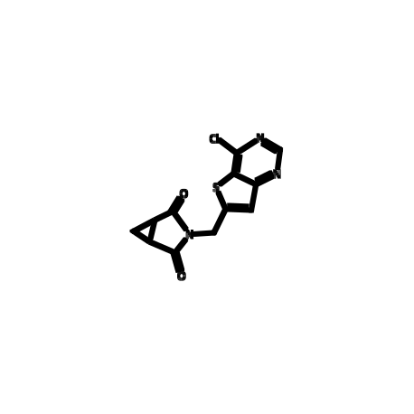 O=C1C2CC2C(=O)N1Cc1cc2ncnc(Cl)c2s1